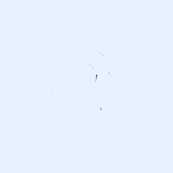 Cn1c(S)nnc1[C@]1(c2cccc(Br)c2)C[C@H](O)C1